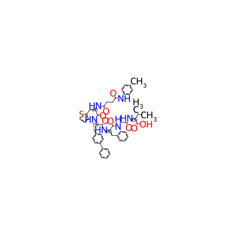 Cc1ccc(NC(=O)CCC(=O)N[C@H](Cc2cccs2)C(=O)N[C@@H](Cc2ccc(-c3ccccc3)cc2)C(=O)N[C@H](Cc2ccccc2)C(=O)NCC(=O)N[C@H](C(=O)O)C(C)C)cc1